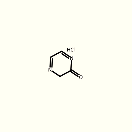 Cl.O=C1CN=CC=N1